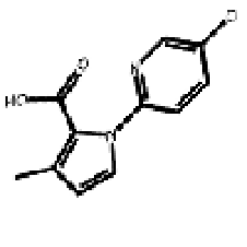 Cc1ccn(-c2ccc(Cl)cn2)c1C(=O)O